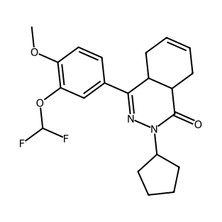 COc1ccc(C2=NN(C3CCCC3)C(=O)C3CC=CCC23)cc1OC(F)F